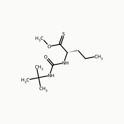 CCC[C@H](NC(=O)NC(C)(C)C)C(=S)OC